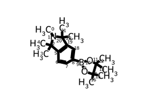 CN1C(C)(C)c2ccc(B3OC(C)(C)C(C)(C)O3)cc2C1(C)C